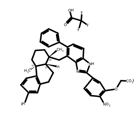 CC(C)c1ccc2c(c1)CC[C@H]1[C@@](C)(Cc3c(-c4ccccc4)ccc4[nH]c(-c5ccc([N+](=O)[O-])c(OCC(=O)O)c5)nc34)CCC[C@]21C.O=C(O)C(F)(F)F